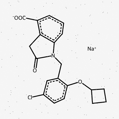 O=C([O-])c1cccc2c1CC(=O)N2Cc1cc(Cl)ccc1OC1CCC1.[Na+]